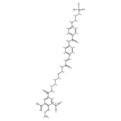 CCOc1c([N+](=O)[O-])cc(C(=O)OCCCCCCOC(=O)/C=C/c2ccc(OC(=O)c3ccc(OCCCC(F)(F)F)cc3)cc2)cc1[N+](=O)[O-]